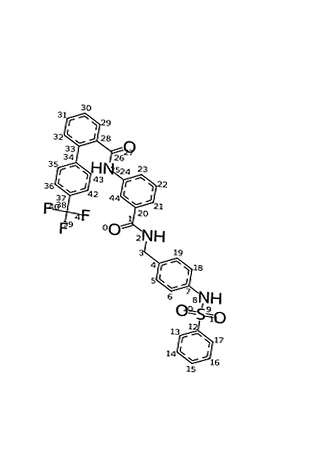 O=C(NCc1ccc(NS(=O)(=O)c2ccccc2)cc1)c1cccc(NC(=O)c2ccccc2-c2ccc(C(F)(F)F)cc2)c1